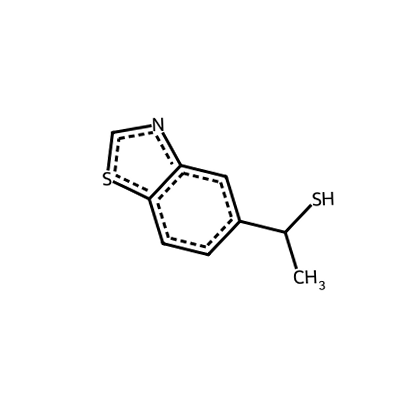 CC(S)c1ccc2scnc2c1